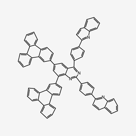 c1ccc2nc(-c3ccc(-c4nc(-c5ccc(-c6ccc7ccccc7n6)cc5)c5cc(-c6ccc7c8ccccc8c8ccccc8c7c6)cc(-c6ccc7c8ccccc8c8ccccc8c7c6)c5n4)cc3)ccc2c1